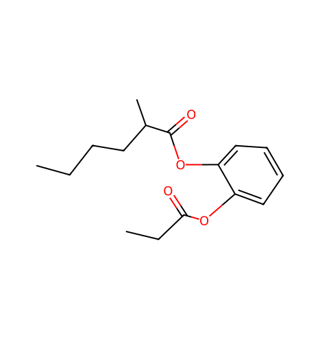 CCCCC(C)C(=O)Oc1ccccc1OC(=O)CC